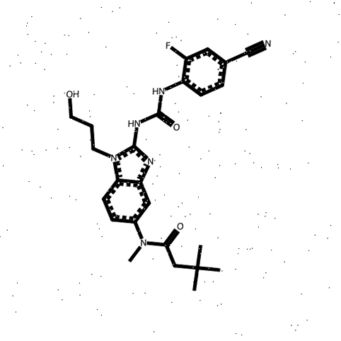 CN(C(=O)CC(C)(C)C)c1ccc2c(c1)nc(NC(=O)Nc1ccc(C#N)cc1F)n2CCCO